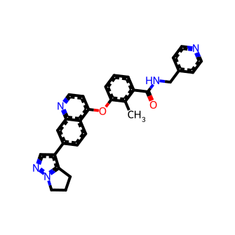 Cc1c(Oc2ccnc3cc(-c4cnn5c4CCC5)ccc23)cccc1C(=O)NCc1ccncc1